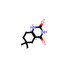 CC1(C)CCc2[nH]c(=O)[nH]c(=O)c2C1